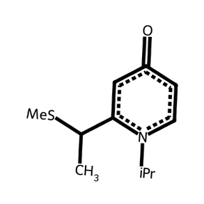 CSC(C)c1cc(=O)ccn1C(C)C